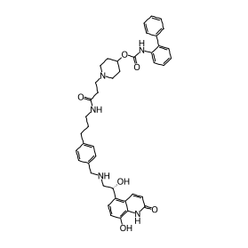 O=C(CCN1CCC(OC(=O)Nc2ccccc2-c2ccccc2)CC1)NCCCc1ccc(CNC[C@H](O)c2ccc(O)c3[nH]c(=O)ccc23)cc1